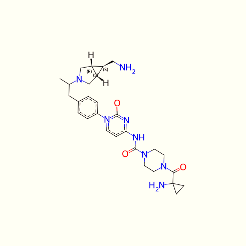 CC(Cc1ccc(-n2ccc(NC(=O)N3CCN(C(=O)C4(N)CC4)CC3)nc2=O)cc1)N1C[C@@H]2[C@@H](CN)[C@@H]2C1